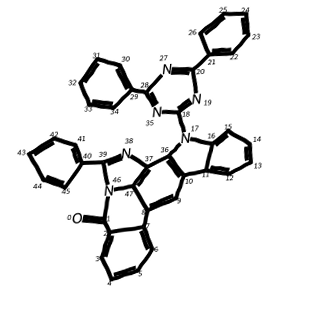 O=c1c2ccccc2c2cc3c4ccccc4n(-c4nc(-c5ccccc5)nc(-c5ccccc5)n4)c3c3nc(-c4ccccc4)n1c23